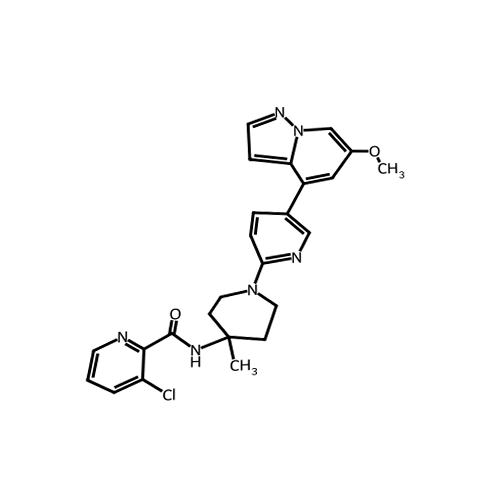 COc1cc(-c2ccc(N3CCC(C)(NC(=O)c4ncccc4Cl)CC3)nc2)c2ccnn2c1